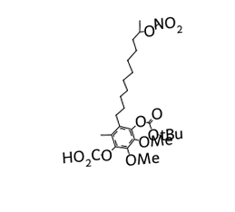 COc1c(OC(=O)O)c(C)c(CCCCCCCCCC(C)O[N+](=O)[O-])c(OC(=O)OC(C)(C)C)c1OC